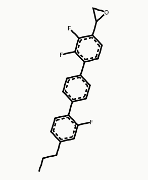 CCCc1ccc(-c2ccc(-c3ccc(C4CO4)c(F)c3F)cc2)c(F)c1